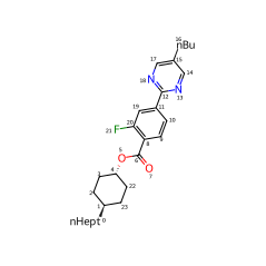 CCCCCCC[C@H]1CC[C@H](OC(=O)c2ccc(-c3ncc(CCCC)cn3)cc2F)CC1